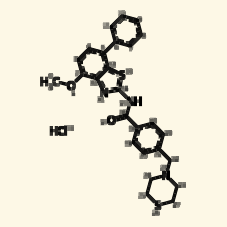 COc1ccc(-c2ccccc2)c2sc(NC(=O)c3ccc(CN4CCSCC4)cc3)nc12.Cl